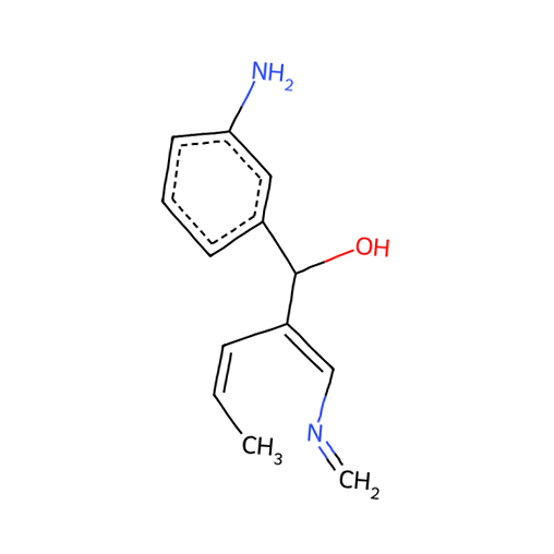 C=N/C=C(\C=C/C)C(O)c1cccc(N)c1